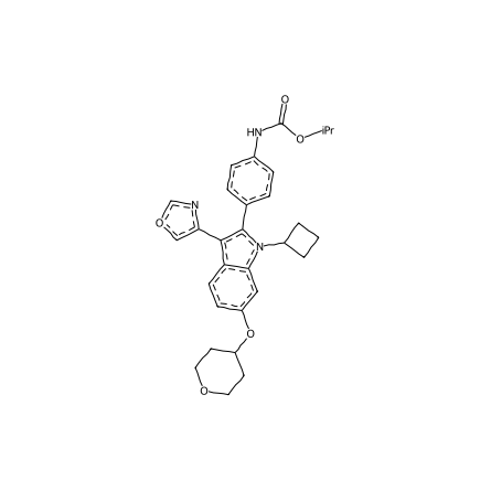 CC(C)OC(=O)Nc1ccc(-c2c(-c3cocn3)c3ccc(OC4CCOCC4)cc3n2C2CCC2)cc1